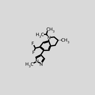 CC(C)N1C[C@H](C)Cc2cc(-c3cnn(C)c3)c(C(F)F)cc21